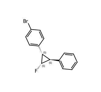 F[C@H]1[C@H](c2ccccc2)[C@H]1c1ccc(Br)cc1